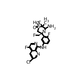 CC1(C)C(N)=N[C@](CF)(c2cc(Nc3ncc(F)c4cc(Cl)cnc34)ccc2F)CS1(=O)=O